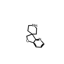 c1cnc2c(c1)OCC21CCNCC1